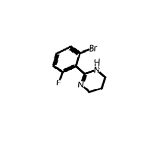 Fc1cccc(Br)c1C1=NCCCN1